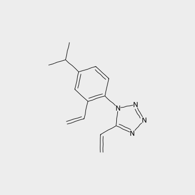 C=Cc1cc(C(C)C)ccc1-n1nnnc1C=C